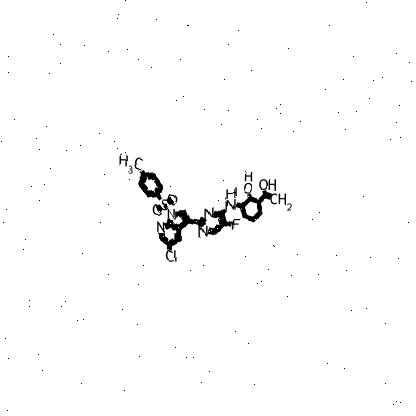 C=C(O)C1CCCC(Nc2nc(-c3cn(S(=O)(=O)c4ccc(C)cc4)c4ncc(Cl)cc34)ncc2F)C1O